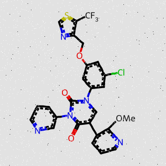 COc1ncccc1-c1cn(-c2cc(Cl)cc(OCc3ncsc3C(F)(F)F)c2)c(=O)n(-c2cccnc2)c1=O